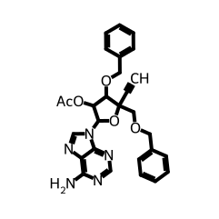 C#CC1(COCc2ccccc2)OC(n2cnc3c(N)ncnc32)C(OC(C)=O)C1OCc1ccccc1